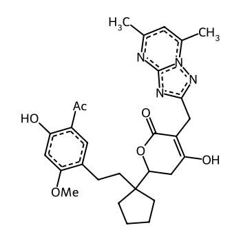 COc1cc(O)c(C(C)=O)cc1CCC1(C2CC(O)=C(Cc3nc4nc(C)cc(C)n4n3)C(=O)O2)CCCC1